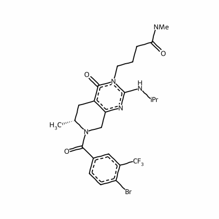 CNC(=O)CCCn1c(NC(C)C)nc2c(c1=O)C[C@@H](C)N(C(=O)c1ccc(Br)c(C(F)(F)F)c1)C2